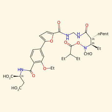 CCCCC[C@@H](C(=O)NCNC(=O)c1ccc(-c2ccc(C(=O)N[C@@H](CC(=O)O)C(=O)O)c(OCC)c2)o1)[C@@H](CC)N(C=O)OC(=O)C(CC)CC